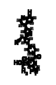 CC(C)(O)c1cc(C(=O)N2CCN(C3CC(CC#N)(n4cc(-c5ccnc6[nH]ccc56)cn4)C3)CC2)nc(C(F)(F)F)c1